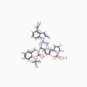 Cc1cc2c(C#N)cccc2n1-c1nc(N(Cc2ccccc2)C(=O)OC(C)(C)C)c2ccc(C3C[C@H](F)CN3C(=O)O)n2n1